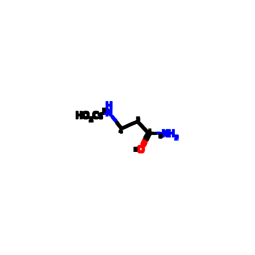 NC(=O)CCNC(=O)O